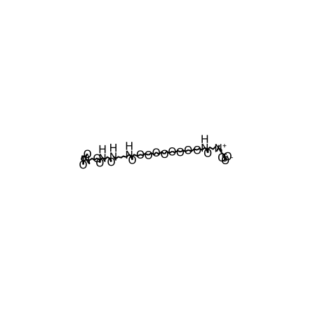 CC(CCOC(=O)NCCC(=O)NCCCCCNC(=O)CCOCCOCCOCCOCCOCCOCCOCCOCCNC(=O)CCC[N+](C)(C)CCCS(=O)(=O)[O-])N1C(=O)C=CC1=O